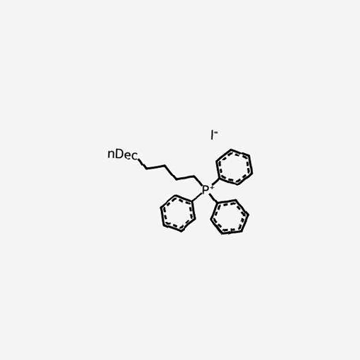 CCCCCCCCCCCCCC[P+](c1ccccc1)(c1ccccc1)c1ccccc1.[I-]